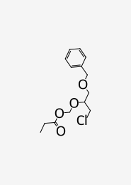 CCC(=O)OCOC(CCl)COCc1ccccc1